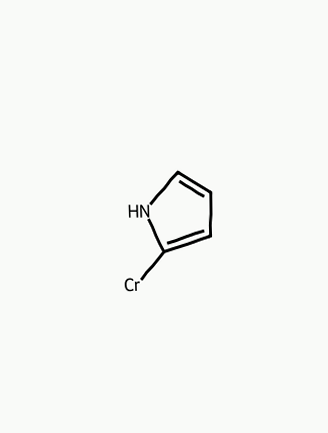 [Cr][c]1ccc[nH]1